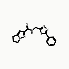 O=C(NCc1nnc(-c2ccccc2)s1)c1cc2n(n1)CCC2